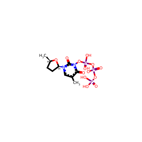 Cc1cn([C@H]2CC[C@@H](C)O2)c(=O)n(OP(=O)(O)OP(=O)(O)OP(=O)(O)O)c1=O